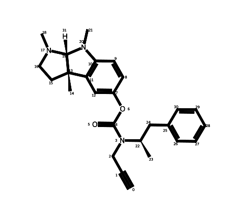 C#CCN(C(=O)Oc1ccc2c(c1)[C@]1(C)CCN(C)[C@@H]1N2C)[C@H](C)Cc1ccccc1